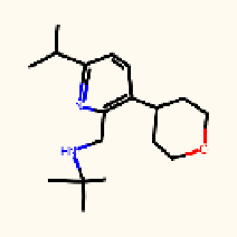 CC(C)c1ccc(C2CCOCC2)c(CNC(C)(C)C)n1